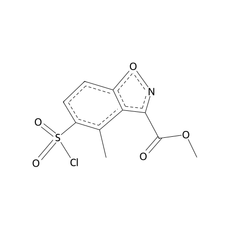 COC(=O)c1noc2ccc(S(=O)(=O)Cl)c(C)c12